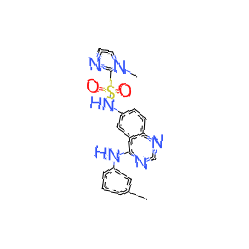 Cc1cccc(Nc2ncnc3ccc(NS(=O)(=O)c4nccn4C)cc23)c1